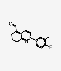 O=CC1=C2C=CN(c3ccc(F)c(F)c3)N=C2CCC1